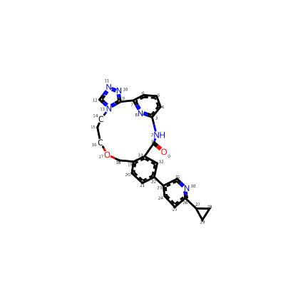 O=C1Nc2cccc(n2)-c2nncn2CCCOCc2ccc(-c3ccc(C4CC4)nc3)cc21